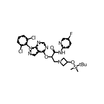 CC(C)(C)[Si](C)(C)OC1CN(CC(Oc2ncnc3c2cnn3-c2c(Cl)cccc2Cl)C(=O)Nc2ccc(F)cn2)C1